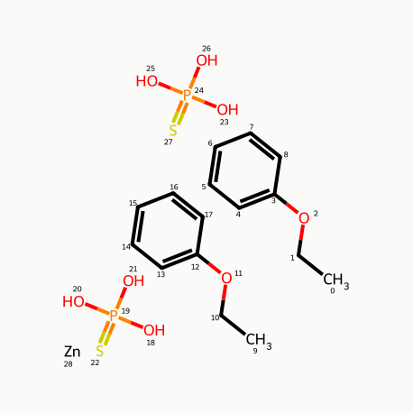 CCOc1ccccc1.CCOc1ccccc1.OP(O)(O)=S.OP(O)(O)=S.[Zn]